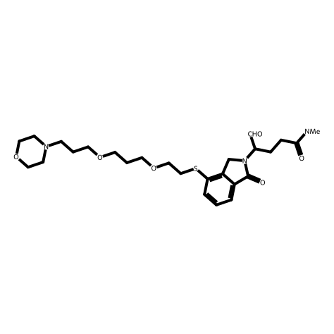 CNC(=O)CCC(C=O)N1Cc2c(SCCOCCCOCCCN3CCOCC3)cccc2C1=O